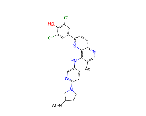 CNC1CCN(c2ccc(Nc3c(C(C)=O)cnc4ccc(-c5cc(Cl)c(O)c(Cl)c5)nc34)cn2)C1